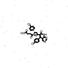 O=C(O)CCC(=O)N1N=C(c2c(-c3ccc(Cl)cc3)c3cncnc3[nH]c2=O)C[C@H]1c1ccc(Cl)cc1